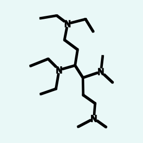 CCN(CC)CCC(C(CCN(C)C)N(C)C)N(CC)CC